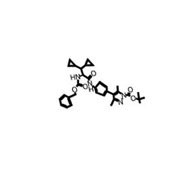 Cc1nn(C(=O)OC(C)(C)C)c(C)c1-c1ccc(NC(=O)[C@@H](NC(=O)OCc2ccccc2)C(C2CC2)C2CC2)cc1